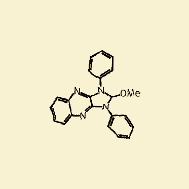 COC1N(c2ccccc2)c2nc3ccccc3nc2N1c1ccccc1